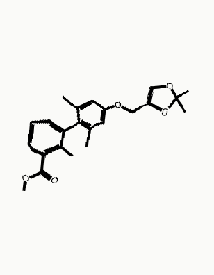 COC(=O)c1cccc(-c2c(C)cc(OC[C@H]3COC(C)(C)O3)cc2C)c1C